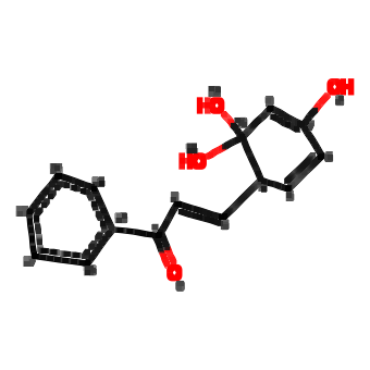 O=C(/C=C/C1C=CC(O)=CC1(O)O)c1ccccc1